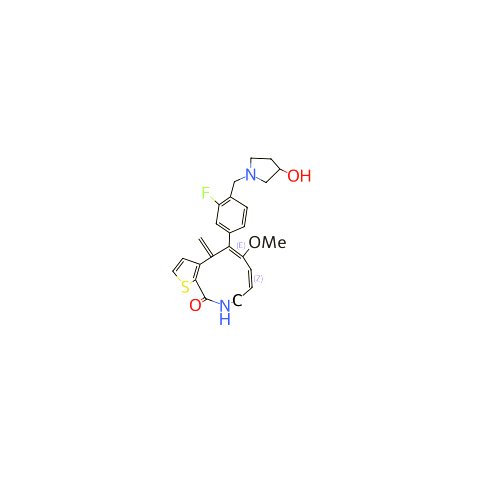 C=C1/C(c2ccc(CN3CCC(O)C3)c(F)c2)=C(OC)\C=C/CNC(=O)c2sccc21